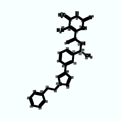 C=C1NC(=O)NC(C(=O)N[C@H](C)c2cccc(-c3cnn(CCc4ccccc4)c3)c2)=C1N